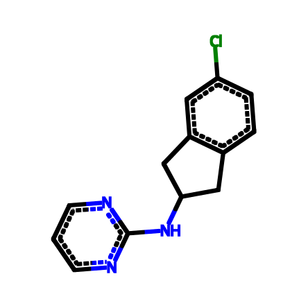 Clc1ccc2c(c1)CC(Nc1ncccn1)C2